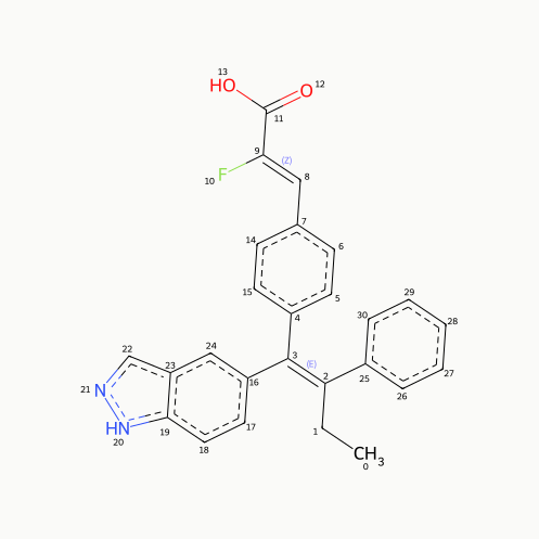 CC/C(=C(/c1ccc(/C=C(\F)C(=O)O)cc1)c1ccc2[nH]ncc2c1)c1ccccc1